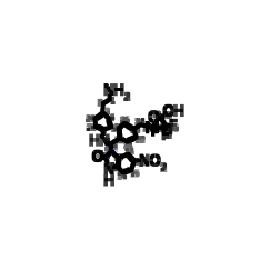 NCCc1ccc(N/C(=C2\C(=O)Nc3ccc([N+](=O)[O-])cc32)c2ccc(CN)cc2)cc1.O=C(O)C(F)(F)F